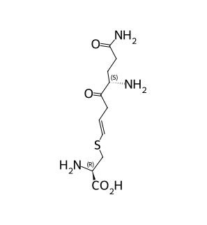 NC(=O)CC[C@H](N)C(=O)CC=CSC[C@H](N)C(=O)O